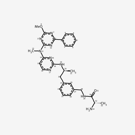 COc1nc(-c2ccccc2)nc(N(C)c2ccnc(N[C@@H](C)Cc3cccc(CNC(=O)[C@H](C)N)c3)n2)n1